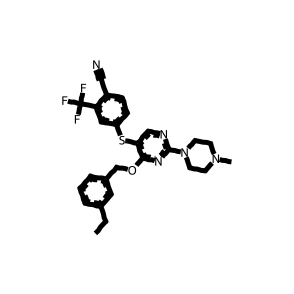 CCc1cccc(COc2nc(N3CCN(C)CC3)ncc2Sc2ccc(C#N)c(C(F)(F)F)c2)c1